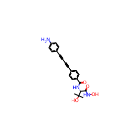 CC(C)(O)[C@H](NC(=O)c1ccc(C#CC#Cc2ccc(N)cc2)cc1)C(=O)NO